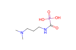 CN(C)CCCNC(=O)P(=O)(O)O